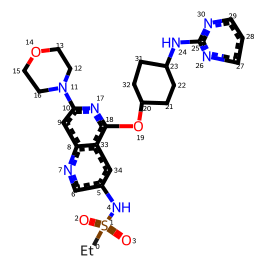 CCS(=O)(=O)Nc1cnc2cc(N3CCOCC3)nc(OC3CCC(Nc4ncccn4)CC3)c2c1